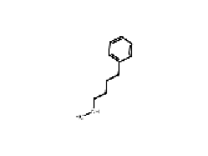 ONCCCCc1ccccc1